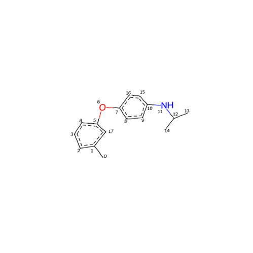 Cc1cccc(Oc2ccc(NC(C)C)cc2)c1